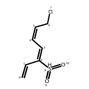 C=C/C(=C\C=C/CCl)[SH](=O)=O